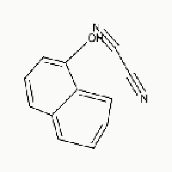 N#CC#N.Oc1cccc2ccccc12